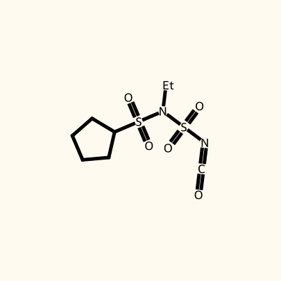 CCN(S(=O)(=O)N=C=O)S(=O)(=O)C1CCCC1